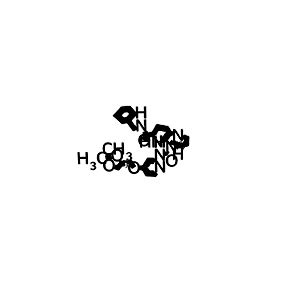 CC1(C)OC[C@H](COc2ccnc(NC(=O)N3C4=C(C=CC(C(=O)NCc5ccccc5)N4)N4CC[C@H]3C4)c2)O1